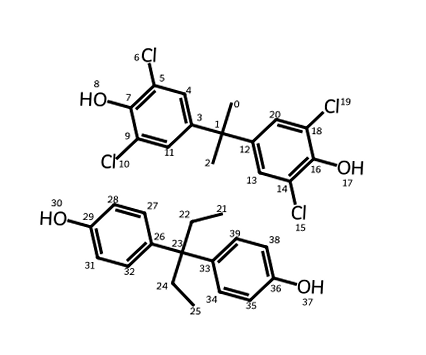 CC(C)(c1cc(Cl)c(O)c(Cl)c1)c1cc(Cl)c(O)c(Cl)c1.CCC(CC)(c1ccc(O)cc1)c1ccc(O)cc1